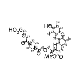 COC(=O)C(Cc1cc(I)c(Oc2cc(I)c(O)c(I)c2)c(I)c1)NC(=O)COCC(=O)N1CCN(C(=O)COCC(=O)O)CC1